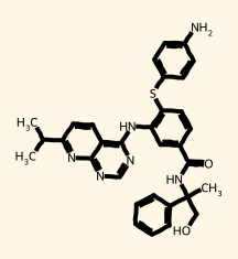 CC(C)c1ccc2c(Nc3cc(C(=O)NC(C)(CO)c4ccccc4)ccc3Sc3ccc(N)cc3)ncnc2n1